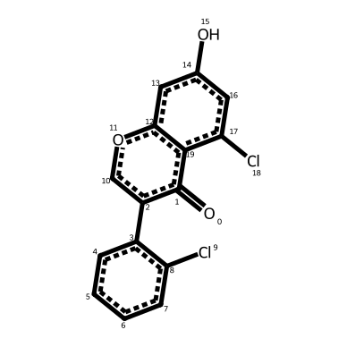 O=c1c(-c2ccccc2Cl)coc2cc(O)cc(Cl)c12